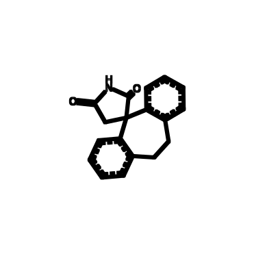 O=C1CC2(C(=O)N1)c1ccccc1CCc1ccccc12